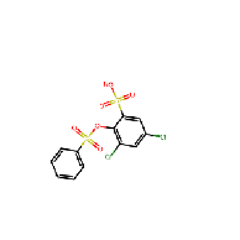 O=S(=O)(O)c1cc(Cl)cc(Cl)c1OS(=O)(=O)c1ccccc1